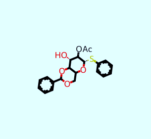 CC(=O)OC1[C@@H](O)C2OC(c3ccccc3)OCC2O[C@H]1Sc1ccccc1